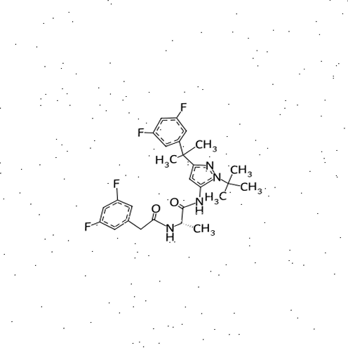 C[C@H](NC(=O)Cc1cc(F)cc(F)c1)C(=O)Nc1cc(C(C)(C)c2cc(F)cc(F)c2)nn1C(C)(C)C